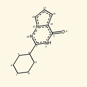 O=c1[nH]c(C2CCCCC2)nn2cccc12